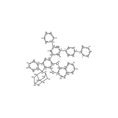 c1ccc(-c2ccc(-c3nc(-c4ccccc4)nc(-c4cc5c(c6c4Oc4c(ccc7ccccc47)O6)C4(c6ccccc6-5)C5CC6CC(C5)CC4C6)n3)cc2)cc1